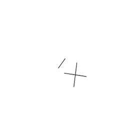 CC.CC(C)(C)C